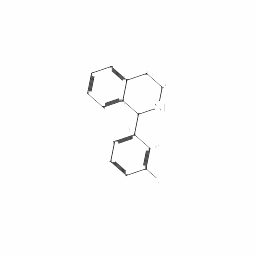 FC(F)(F)c1cccc(C2NCCc3ccccc32)c1